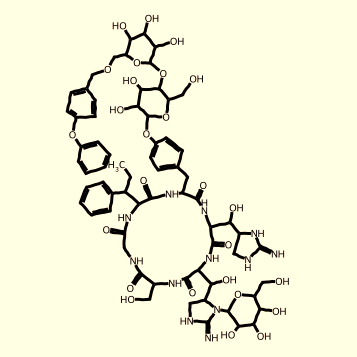 CCC(c1ccccc1)C1NC(=O)CNC(=O)C(CO)NC(=O)C(C(O)C2CNC(=N)N2C2OC(CO)C(O)C(O)C2O)NC(=O)C(C(O)C2CNC(=N)N2)NC(=O)C(Cc2ccc(OC3OC(CO)C(OC4OC(COCc5ccc(Oc6ccccc6)cc5)C(O)C(O)C4O)C(O)C3O)cc2)NC1=O